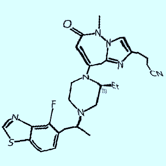 CC[C@H]1CN(C(C)c2ccc3scnc3c2F)CCN1c1cc(=O)n(C)n2cc(CC#N)nc12